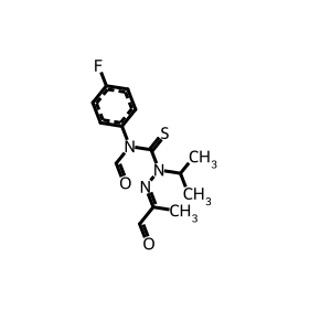 C/C(C=O)=N\N(C(=S)N(C=O)c1ccc(F)cc1)C(C)C